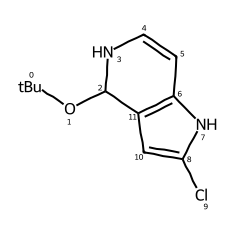 CC(C)(C)OC1NC=Cc2[nH]c(Cl)cc21